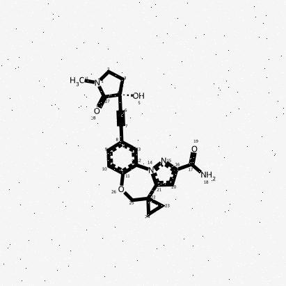 CN1CC[C@@](O)(C#Cc2ccc3c(c2)-n2nc(C(N)=O)cc2C2(CC2)CO3)C1=O